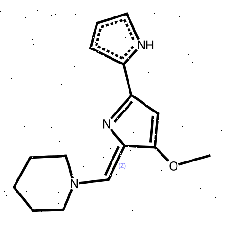 COC1=CC(c2ccc[nH]2)=N/C1=C\N1CCCCC1